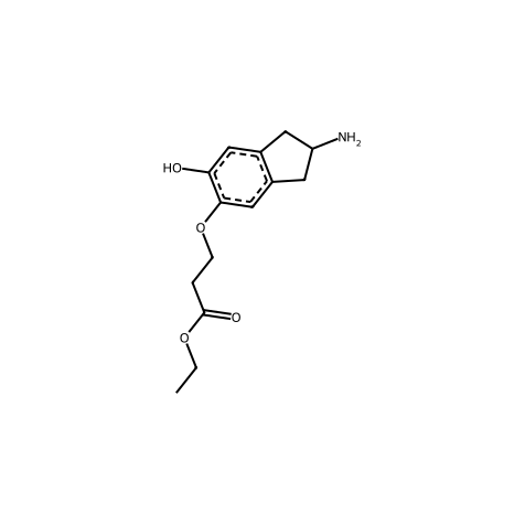 CCOC(=O)CCOc1cc2c(cc1O)CC(N)C2